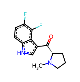 CN1CCC[C@H]1C(=O)c1c[nH]c2ccc(F)c(F)c12